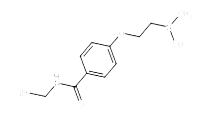 CC(C)CNC(=O)c1ccc(OCCN(C)C)cc1